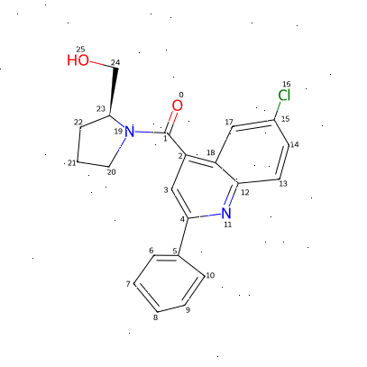 O=C(c1cc(-c2ccccc2)nc2ccc(Cl)cc12)N1CCC[C@H]1CO